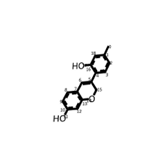 Cc1ccc(C2=Cc3ccc(O)cc3OC2)c(O)c1